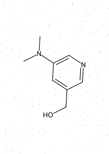 CN(C)c1cncc(CO)c1